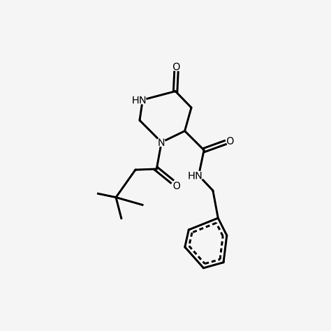 CC(C)(C)CC(=O)N1CNC(=O)CC1C(=O)NCc1ccccc1